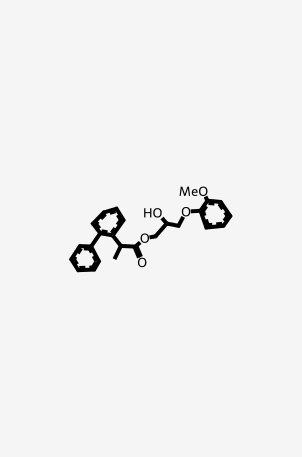 COc1ccccc1OCC(O)COC(=O)C(C)c1ccccc1-c1ccccc1